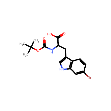 CC(C)(C)OC(=O)NC(Cc1c[nH]c2cc(Br)ccc12)C(=O)O